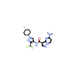 CN(C)c1ccn2ncc(C(=O)Nc3cn([C@H]4CC[C@H](C)CC4)nc3C(F)F)c2n1